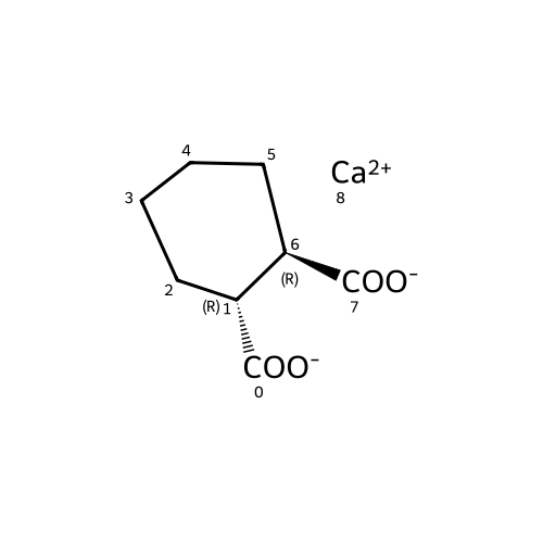 O=C([O-])[C@@H]1CCCC[C@H]1C(=O)[O-].[Ca+2]